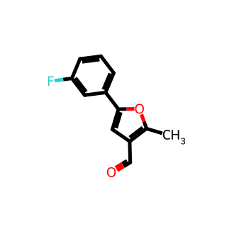 Cc1oc(-c2cccc(F)c2)cc1C=O